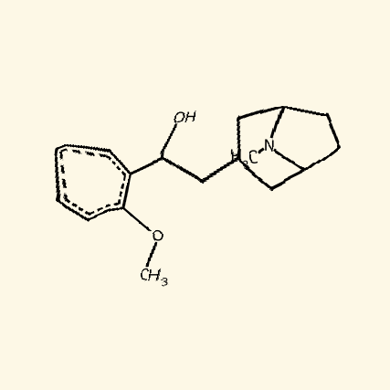 COc1ccccc1C(O)CC1CC2CCC(C1)N2C